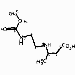 CC(CC(=O)O)NCCNC(=O)OC(C)(C)C